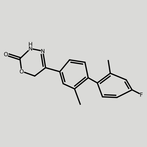 Cc1cc(F)ccc1-c1ccc(C2=NNC(=O)OC2)cc1C